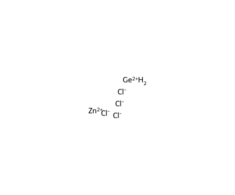 [Cl-].[Cl-].[Cl-].[Cl-].[GeH2+2].[Zn+2]